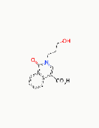 O=C(O)c1cn(CCCO)c(=O)c2ccccc12